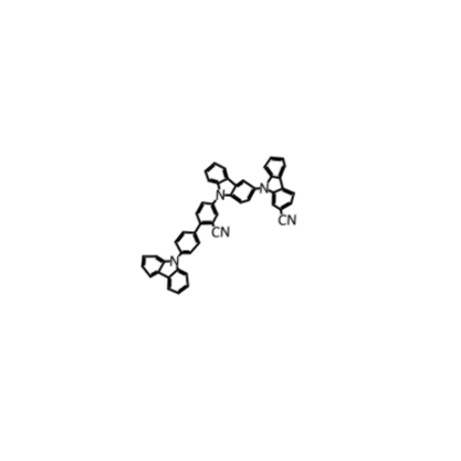 N#Cc1ccc2c3ccccc3n(-c3ccc4c(c3)c3ccccc3n4-c3ccc(-c4ccc(-n5c6ccccc6c6ccccc65)cc4)c(C#N)c3)c2c1